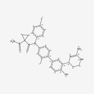 Cc1cc(N(C(=O)C2(C(N)=O)CC2)c2ccc(F)cc2)ccc1-c1ccc(O)c(C2CCNC(N)=N2)c1